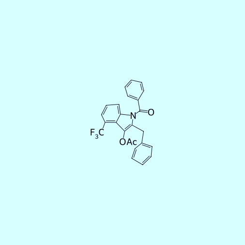 CC(=O)Oc1c(Cc2ccccc2)n(C(=O)c2ccccc2)c2cccc(C(F)(F)F)c12